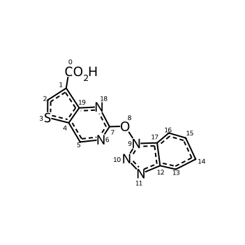 O=C(O)c1csc2cnc(On3nnc4ccccc43)nc12